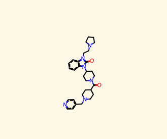 O=C(C1CCN(Cc2ccncc2)CC1)N1CCC(n2c(=O)n(CCN3CCCC3)c3ccccc32)CC1